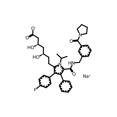 CC(C)n1c(CC[C@@H](O)C[C@@H](O)CC(=O)[O-])c(-c2ccc(F)cc2)c(-c2ccccc2)c1C(=O)NCc1cccc(C(=O)N2CCCC2)c1.[Na+]